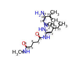 C=C(/C=C(/NC(=O)CCCC(=O)NC)NN(C)/C=C(/N)C(=C)C)CC